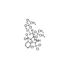 CC1(C)O[C@H]2[C@@H]([C@H]3COC(C)(C)O3)OP(=O)(c3ccccc3)[C@@H](OC(=N)C(Cl)(Cl)Cl)[C@H]2O1